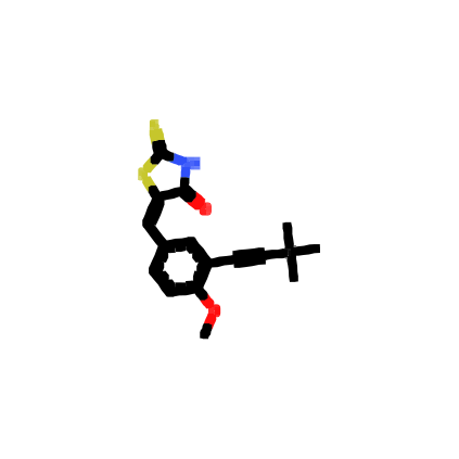 COc1ccc(C=C2SC(=S)NC2=O)cc1C#C[Si](C)(C)C